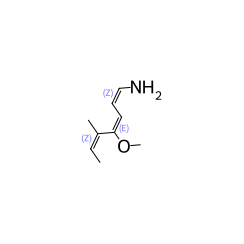 C\C=C(C)/C(=C\C=C/N)OC